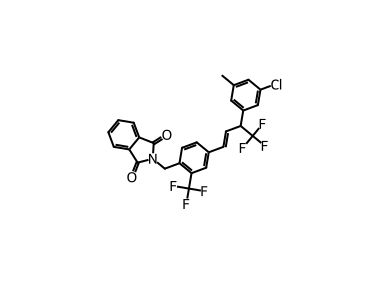 Cc1cc(Cl)cc(C(/C=C/c2ccc(CN3C(=O)c4ccccc4C3=O)c(C(F)(F)F)c2)C(F)(F)F)c1